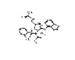 Cc1ccccc1S(=O)(=O)N(C(=O)OC(C)(C)C)[C@@](C)(CC(C)CNC(=N)N)C(=O)Oc1cccc2[nH]nnc12